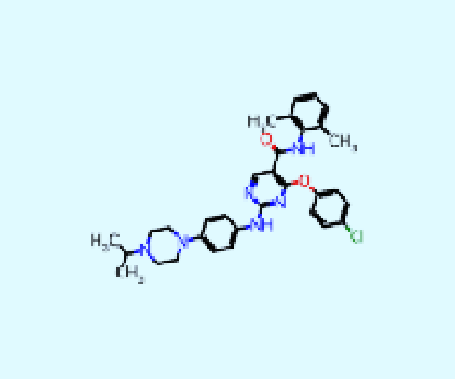 Cc1cccc(C)c1NC(=O)c1cnc(Nc2ccc(N3CCN(C(C)C)CC3)cc2)nc1Oc1ccc(Cl)cc1